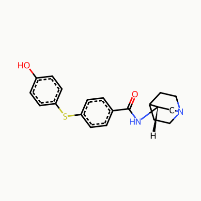 O=C(N[C@H]1CN2CCC1CC2)c1ccc(Sc2ccc(O)cc2)cc1